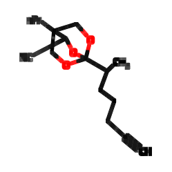 C#CCCCC(C)C12OCC(CCC)(CO1)C(C#N)O2